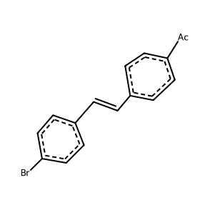 CC(=O)c1ccc(/C=C/c2ccc(Br)cc2)cc1